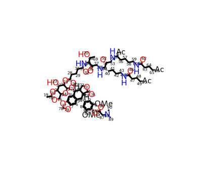 COc1cc([C@@H]2c3cc4c(cc3[C@@H](OC3OC5COC(C)OC5C(O)C3OC(=O)CCCC(=O)N[C@@H](C(=O)CN[C@@H](CCCCNC(=O)CCCC(C)=O)C(=O)CNC(CCCCNC(=O)CCCC(C)=O)C(C)=O)C(C)O)[C@H]3COC(=O)[C@H]23)OCO4)cc(OC)c1OC(=O)CN(C)C